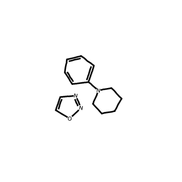 c1ccc(N2CCCCC2)cc1.c1conn1